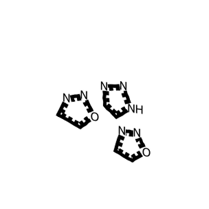 c1c[nH]nn1.c1conn1.c1conn1